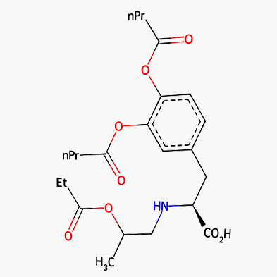 CCCC(=O)Oc1ccc(C[C@H](NCC(C)OC(=O)CC)C(=O)O)cc1OC(=O)CCC